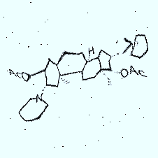 CC(=O)OC1CC2CC[C@@H]3C(CC[C@@]4(C)C3C[C@H]([N+]3(C)CCCCC3)[C@@H]4OC(C)=O)[C@@]2(C)C[C@@H]1N1CCCCC1